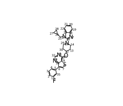 Fc1cccc(-c2csc3c(OC4CCN(c5nc6ccccc6n5CC5CC5)CC4)ncnc23)c1